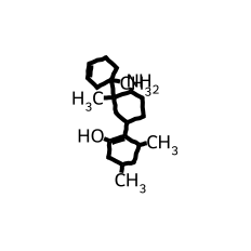 CC1CC(O)=C(C2CCC(N)C(C)(C3(C)CC=CCC3)C2)C(C)C1